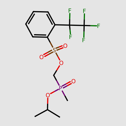 CC(C)OP(C)(=O)COS(=O)(=O)c1ccccc1C(F)(F)C(F)(F)F